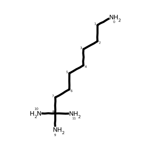 NCCCCCCCC(N)(N)N